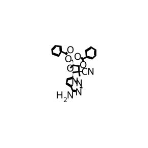 C[C@@]1(C#N)[C@H](OC(=O)c2ccccc2)[C@@H](COC(=O)c2ccccc2)O[C@H]1c1ccc2c(N)ncnn12